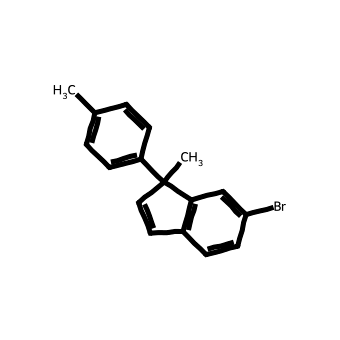 Cc1ccc(C2(C)C=Cc3ccc(Br)cc32)cc1